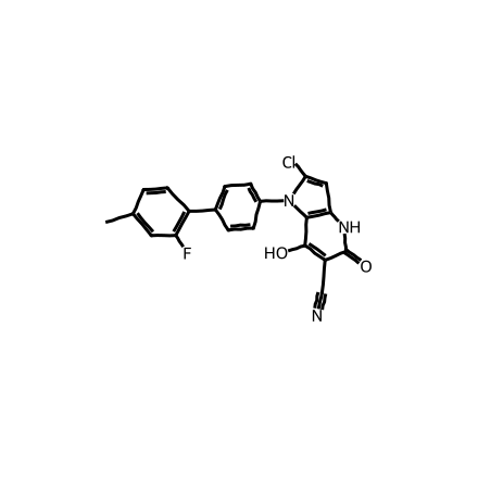 Cc1ccc(-c2ccc(-n3c(Cl)cc4[nH]c(=O)c(C#N)c(O)c43)cc2)c(F)c1